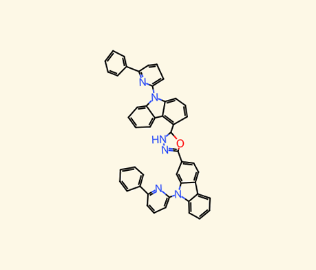 c1ccc(-c2cccc(-n3c4ccccc4c4ccc(C5=NNC(c6cccc7c6c6ccccc6n7-c6cccc(-c7ccccc7)n6)O5)cc43)n2)cc1